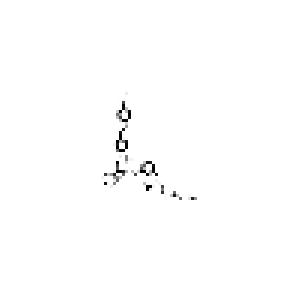 CCOC(=O)C(=O)N(C)CCN(Cc1cccc(C(=O)Nc2sc3c(c2C(=O)Nc2ccc(CCc4ccc(C(=O)OC)cc4)cc2)CCCC3)c1)C1CC1